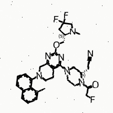 Cc1cccc2cccc(N3CCc4c(nc(OC[C@@H]5CC(F)(F)CN5C)nc4N4CCN(C(=O)CF)[C@@H](CC#N)C4)C3)c12